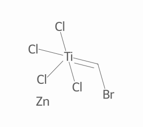 [Cl][Ti]([Cl])([Cl])([Cl])=[CH]Br.[Zn]